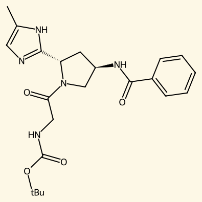 Cc1cnc([C@@H]2C[C@@H](NC(=O)c3ccccc3)CN2C(=O)CNC(=O)OC(C)(C)C)[nH]1